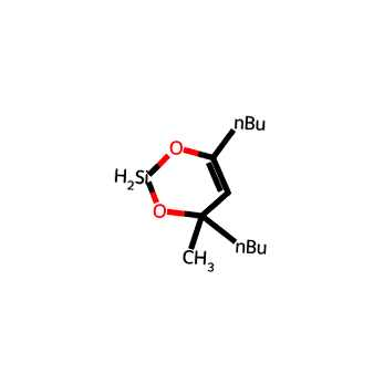 CCCCC1=CC(C)(CCCC)O[SiH2]O1